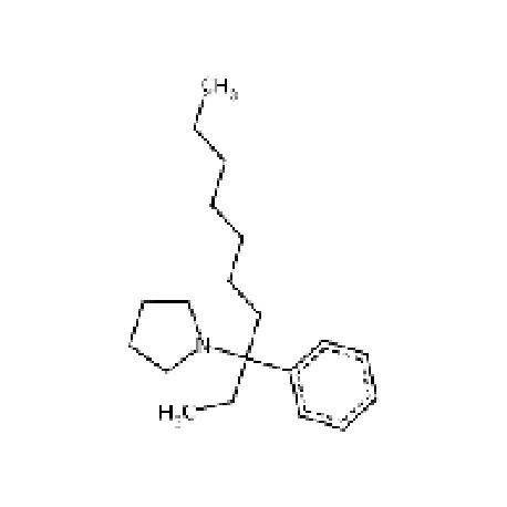 CCCCCCCC(CC)(c1ccccc1)N1CCCC1